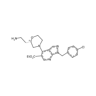 CCOC(=O)c1cnc2c(cnn2Cc2ccc(Cl)cc2)c1N1CCO[C@@H](CCN)C1